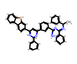 CC(/N=C(\N=C(/N)c1cccc(-c2cc(-c3ccc4c(c3)sc3ccccc34)nc(-c3ccccc3)n2)c1)c1ccccc1)c1ccccc1